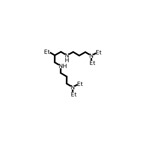 CCC(CNCCCN(CC)CC)CNCCCN(CC)CC